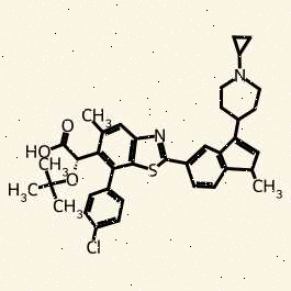 Cc1cc2nc(-c3ccc4c(c3)C(C3CCN(C5CC5)CC3)=CC4C)sc2c(-c2ccc(Cl)cc2)c1[C@H](OC(C)(C)C)C(=O)O